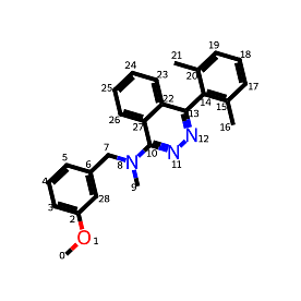 COc1cccc(CN(C)c2nnc(-c3c(C)cccc3C)c3ccccc23)c1